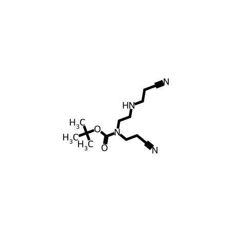 CC(C)(C)OC(=O)N(CCC#N)CCNCCC#N